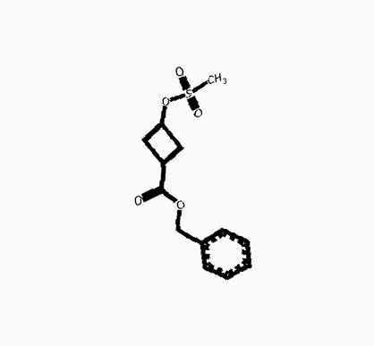 CS(=O)(=O)OC1CC(C(=O)OCc2ccccc2)C1